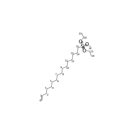 C=CCCCCCCCCCCCCCC[Si](OC)(OCC)OCC